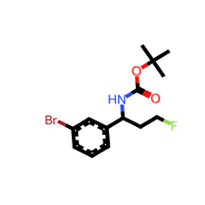 CC(C)(C)OC(=O)NC(CCF)c1cccc(Br)c1